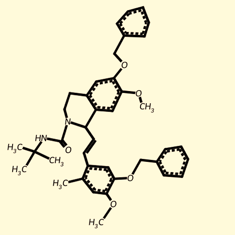 COc1cc(C)c(C=CC2c3cc(OC)c(OCc4ccccc4)cc3CCN2C(=O)NC(C)(C)C)cc1OCc1ccccc1